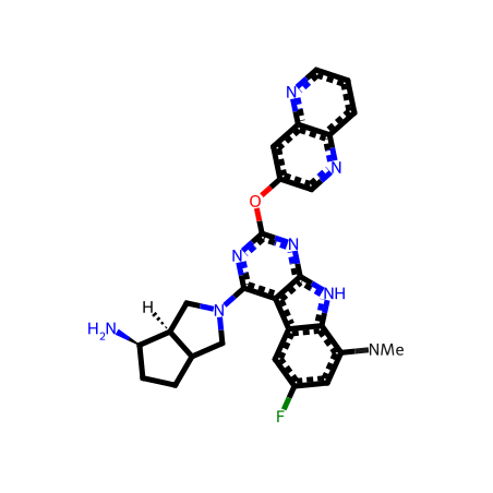 CNc1cc(F)cc2c1[nH]c1nc(Oc3cnc4cccnc4c3)nc(N3CC4CC[C@@H](N)[C@H]4C3)c12